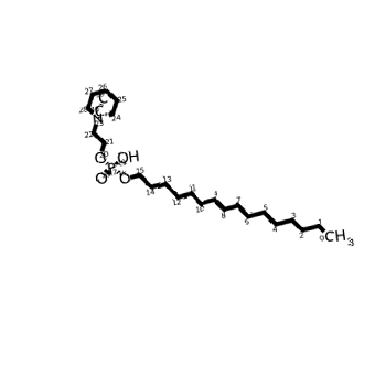 CCCCCCCCCCCCCCCCOP(=O)(O)OCC[N+]12CCC(CC1)CC2